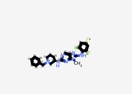 Cn1c(Nc2c(F)cc(F)cc2F)nc2cnc(N[C@@H]3CCCN(Cc4ccccc4)C3)nc21